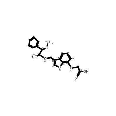 COC(c1ccccc1)C(C)OCc1coc2c(OCC(=O)O)cccc12